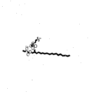 CCCCCCCCCCCCCCCCC(COC(=O)NCC)COP(=O)([O-])OCC[N+](C)(C)C